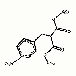 CCCCOC(=O)C(Cc1ccc([N+](=O)[O-])cc1)C(=O)OCCCC